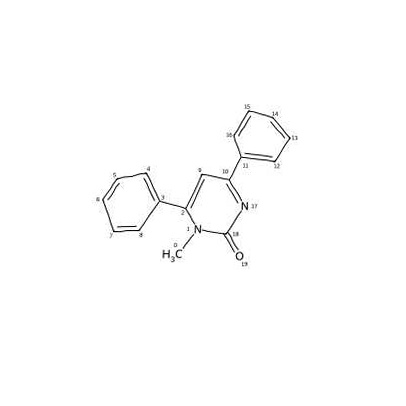 Cn1c(-c2ccccc2)cc(-c2ccccc2)nc1=O